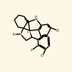 CCN1CC(c2cccc(Cl)c2F)[C@]2(C(=O)Nc3cc(Cl)ccc32)C12CCCCC2